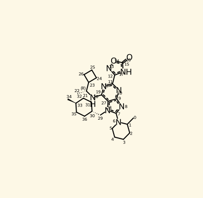 CC1CCCCN1c1nc2nc(-c3noc(=O)[nH]3)nc(N[C@H](C)C3CCC3)c2n1C[C@H]1CC[C@H](C)CC1